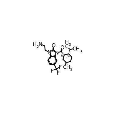 CC(C)[C@@H]1CC[C@@H](C)C[C@H]1C(=O)n1c(=O)n(CCN)c2ccc(C(F)(F)F)cc21